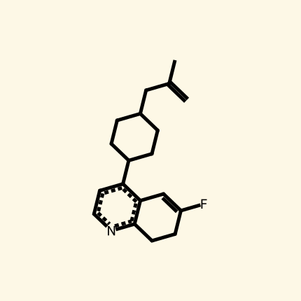 C=C(C)CC1CCC(c2ccnc3c2C=C(F)CC3)CC1